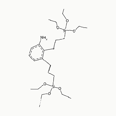 CCO[Si](CCCc1cccc(N)c1CCC[Si](OCC)(OCC)OCC)(OCC)OCC